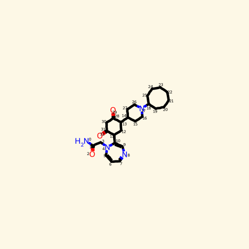 NC(=O)CN1C=CC=NC=C1C1CC(C2CCN(C3CCCCCCC3)CC2)C(=O)CC1=O